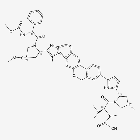 COC[C@H]1C[C@@H](c2nc3ccc4cc5c(cc4c3[nH]2)OCc2cc(-c3cnc([C@@H]4C[C@H](C)CN4C(=O)[C@H](C(C)C)N(C)C(=O)O)[nH]3)ccc2-5)N(C(=O)[C@H](NC(=O)OC)c2ccccc2)C1